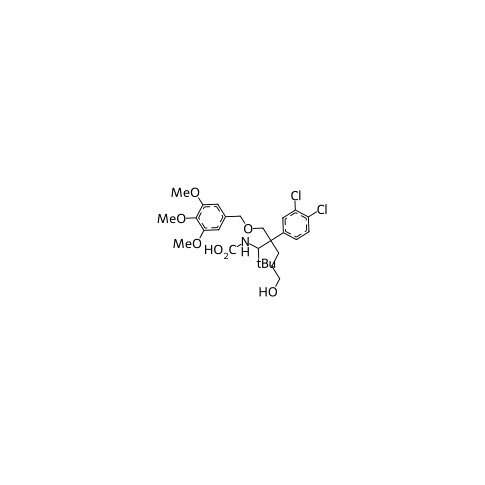 COc1cc(COCC(CCCO)(c2ccc(Cl)c(Cl)c2)C(NC(=O)O)C(C)(C)C)cc(OC)c1OC